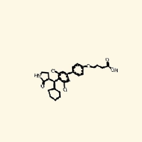 O=C(O)CCCOc1ccc(-c2cc(Cl)c(C(C3CCCCC3)C3CCNC3=O)c(Cl)c2)cc1